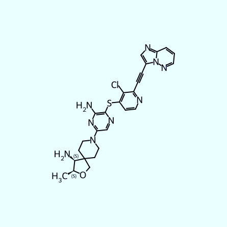 C[C@@H]1OCC2(CCN(c3cnc(Sc4ccnc(C#Cc5cnc6cccnn56)c4Cl)c(N)n3)CC2)[C@@H]1N